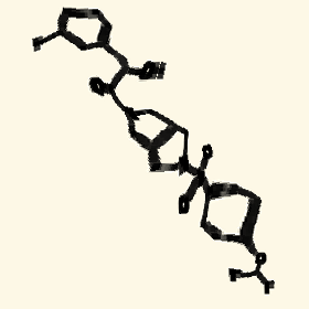 O=C(C(O)c1cccc(F)c1)N1CC2=C(C1)CN(S(=O)(=O)c1ccc(OC(F)F)cc1)C2